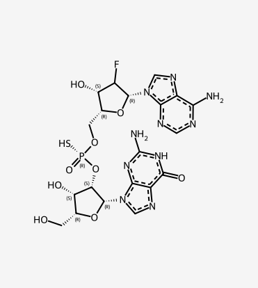 Nc1nc2c(ncn2[C@@H]2O[C@H](CO)[C@H](O)[C@@H]2O[P@](=O)(S)OC[C@H]2O[C@@H](n3cnc4c(N)ncnc43)C(F)[C@H]2O)c(=O)[nH]1